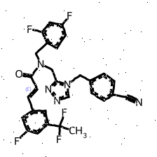 CC(F)(F)c1cc(F)cc(/C=C/C(=O)N(Cc2ccc(F)cc2F)Cc2nncn2Cc2ccc(C#N)cc2)c1